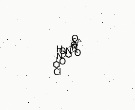 C[C@H](NC(=O)c1ccc2n(c1=O)CCN(CC1(S(C)(=O)=O)CC1)C2=O)c1ccc(Cl)cc1